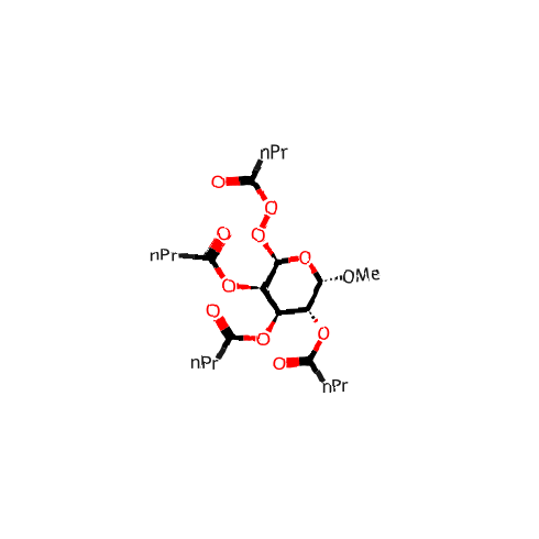 CCCC(=O)OO[C@H]1O[C@H](OC)[C@H](OC(=O)CCC)[C@@H](OC(=O)CCC)[C@H]1OC(=O)CCC